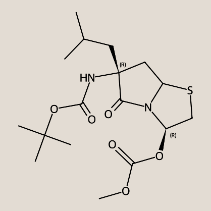 COC(=O)O[C@@H]1CSC2C[C@@](CC(C)C)(NC(=O)OC(C)(C)C)C(=O)N21